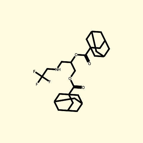 O=C(OCC(CNCC(F)(F)F)OC(=O)C12CC3CC(CC(C3)C1)C2)C12CC3CC(CC(C3)C1)C2